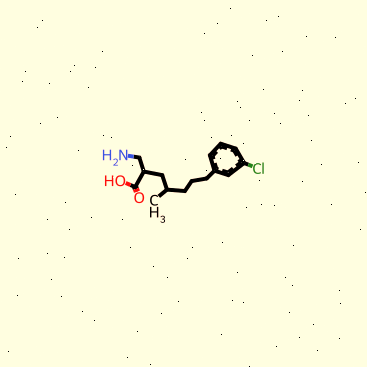 CC(CCCc1cccc(Cl)c1)CC(CN)C(=O)O